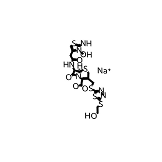 N=c1scc(CC(=O)NC2C(=O)N3C(C(=O)[O-])=C(CSc4nnc(SCCO)s4)CS[C@H]23)n1O.[Na+]